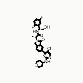 C[C@H](C(=O)N[C@H](CO)c1cc(F)ccc1F)N1Cc2ccc(-c3nc(NC4CCOCC4)ncc3Cl)cc2C1=O